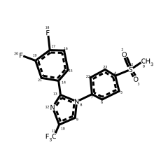 CS(=O)(=O)c1ccc(-n2cc(C(F)(F)F)nc2-c2ccc(F)c(F)c2)cc1